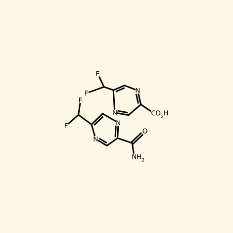 NC(=O)c1cnc(C(F)F)cn1.O=C(O)c1cnc(C(F)F)cn1